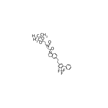 CC(C)(C)OC(=O)CCN(C=O)CC(=O)N1CCc2cc(CCc3cc(-c4ccccc4)c(C(F)(F)F)s3)ccc21